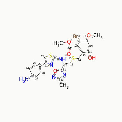 COC(=O)c1c(Br)c(OC)cc(O)c1CSCC(Nc1nc(-c2ccc(N)cc2)cs1)c1nc(C)no1